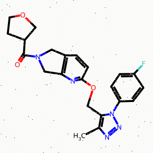 Cc1nnn(-c2ccc(F)cc2)c1COc1ccc2c(n1)CN(C(=O)C1CCOC1)C2